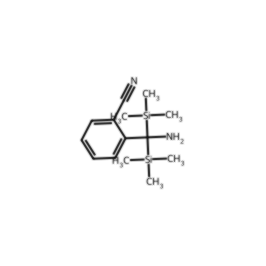 C[Si](C)(C)C(N)(c1ccccc1C#N)[Si](C)(C)C